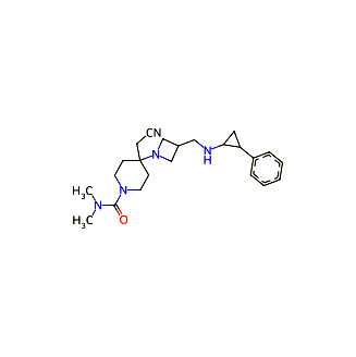 CN(C)C(=O)N1CCC(CC#N)(N2CC(CNC3CC3c3ccccc3)C2)CC1